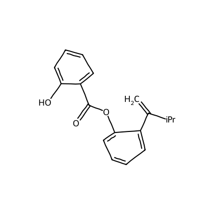 C=C(c1ccccc1OC(=O)c1ccccc1O)C(C)C